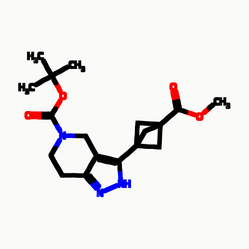 COC(=O)C12CC(c3[nH]nc4c3CN(C(=O)OC(C)(C)C)CC4)(C1)C2